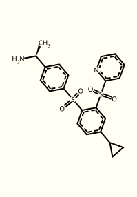 C[C@H](N)c1ccc(S(=O)(=O)c2ccc(C3CC3)cc2S(=O)(=O)c2ccccn2)cc1